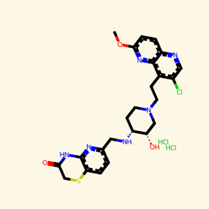 COc1ccc2ncc(Cl)c(CCN3CC[C@@H](NCc4ccc5c(n4)NC(=O)CS5)[C@@H](O)C3)c2n1.Cl.Cl